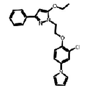 CCOc1cc(-c2ccccc2)nn1CCOc1ccc(-n2cccc2)cc1Cl